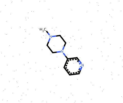 [CH2]N1CCN(c2cccnc2)CC1